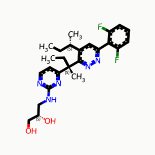 CC[C@H](C)c1cc(-c2c(F)cccc2F)nnc1[C@@](C)(CC)c1ccnc(NC[C@H](O)CO)n1